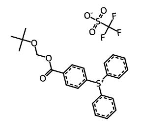 CC(C)(C)OCOC(=O)c1ccc([S+](c2ccccc2)c2ccccc2)cc1.O=S(=O)([O-])C(F)(F)F